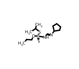 CCCOP(=S)(NC=NC1CCCC1)SC(C)C